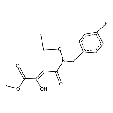 CCON(Cc1ccc(F)cc1)C(=O)C=C(O)C(=O)OC